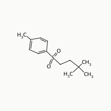 Cc1ccc(S(=O)(=O)CCC(C)(C)C)cc1